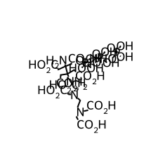 NC(CC(=O)O)(CC(=O)O)C(N)(CC(=O)O)CC(=O)O.O=C(O)CN(CCN(CC(=O)O)CC(=O)O)CC(=O)O.O=P(O)(O)O.O=P(O)(O)O.O=P(O)(O)O